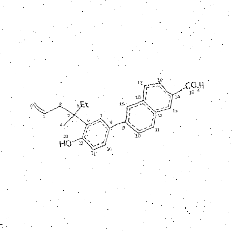 C=CCC(C)(CC)c1cc(-c2ccc3cc(C(=O)O)ccc3c2)ccc1O